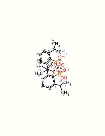 CC(C)c1cccc(C(C)C)c1P(=O)(O)OP(=O)(O)c1c(C(C)C)cccc1C(C)C